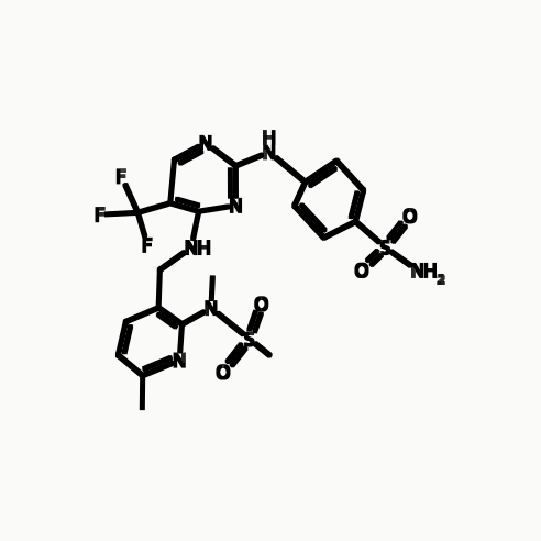 Cc1ccc(CNc2nc(Nc3ccc(S(N)(=O)=O)cc3)ncc2C(F)(F)F)c(N(C)S(C)(=O)=O)n1